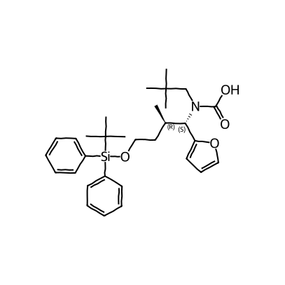 C[C@H](CCO[Si](c1ccccc1)(c1ccccc1)C(C)(C)C)[C@@H](c1ccco1)N(CC(C)(C)C)C(=O)O